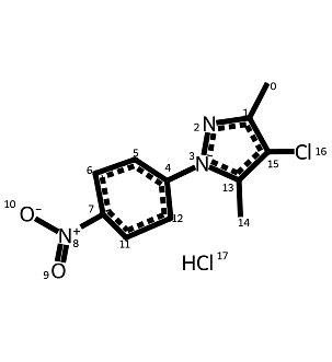 Cc1nn(-c2ccc([N+](=O)[O-])cc2)c(C)c1Cl.Cl